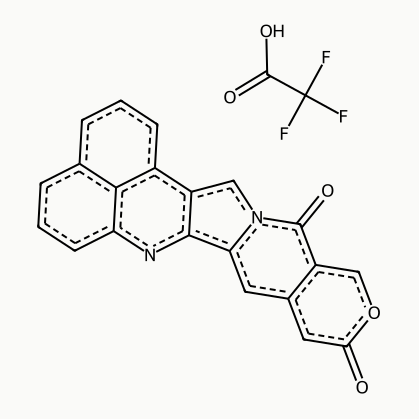 O=C(O)C(F)(F)F.O=c1cc2cc3c4nc5cccc6cccc(c4cn3c(=O)c2co1)c65